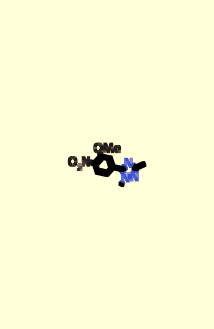 COc1cc(-c2nc(C)nn2C)ccc1[N+](=O)[O-]